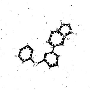 c1ccc(Oc2cccc(-c3ccc4ncnn4c3)c2)cc1